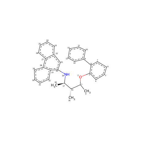 CC(Oc1ccccc1-c1ccccc1)[C@H](C)[C@@H](C)Nc1cc2ccccc2c2ccccc12